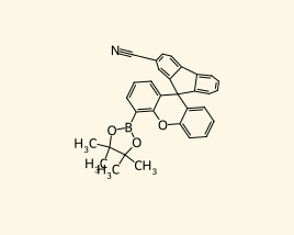 CC1(C)OB(c2cccc3c2Oc2ccccc2C32c3ccccc3-c3ccc(C#N)cc32)OC1(C)C